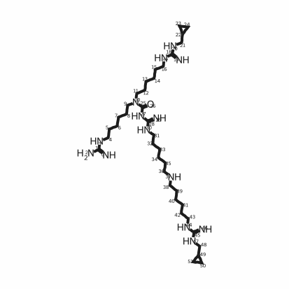 N=C(N)NCCCCCCN(CCCCCCNC(=N)NCC1CC1)C(=O)NC(=N)NCCCCCCNCCCCCCNC(=N)NCC1CC1